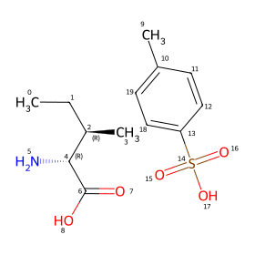 CC[C@@H](C)[C@@H](N)C(=O)O.Cc1ccc(S(=O)(=O)O)cc1